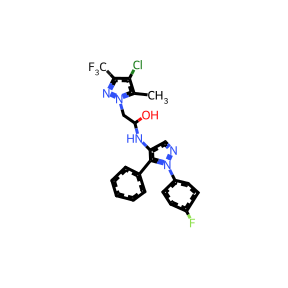 Cc1c(Cl)c(C(F)(F)F)nn1CC(O)Nc1cnn(-c2ccc(F)cc2)c1-c1ccccc1